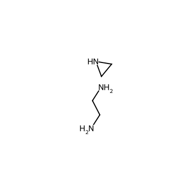 C1CN1.NCCN